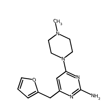 CN1CCN(c2cc(Cc3ccco3)nc(N)n2)CC1